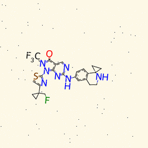 O=c1c2cnc(Nc3ccc4c(c3)CCNC43CC3)nc2n(-c2nc(C3(CF)CC3)cs2)n1CC(F)(F)F